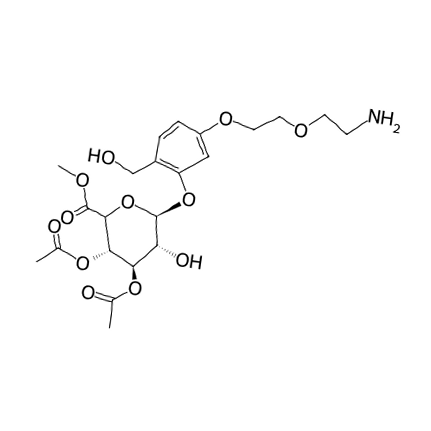 COC(=O)C1O[C@@H](Oc2cc(OCCOCCN)ccc2CO)[C@H](O)[C@@H](OC(C)=O)[C@@H]1OC(C)=O